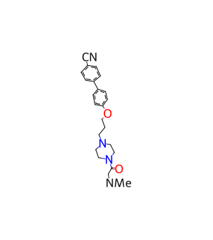 CNCC(=O)N1CCN(CCCOc2ccc(-c3ccc(C#N)cc3)cc2)CC1